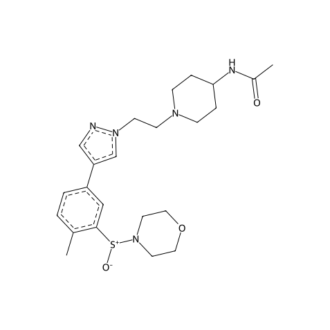 CC(=O)NC1CCN(CCn2cc(-c3ccc(C)c([S+]([O-])N4CCOCC4)c3)cn2)CC1